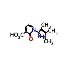 Cc1c(-n2cccc(C(=O)O)c2=O)nn(C)c1C